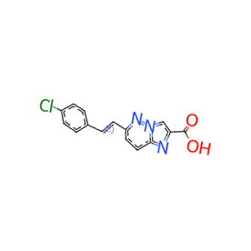 O=C(O)c1cn2nc(/C=C/c3ccc(Cl)cc3)ccc2n1